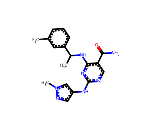 CC(Nc1nc(Nc2cnn(C)c2)ncc1C(N)=O)c1cccc(C(F)(F)F)c1